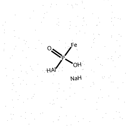 O=[P](O)([AlH])[Fe].[NaH]